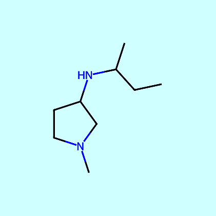 CCC(C)NC1CCN(C)C1